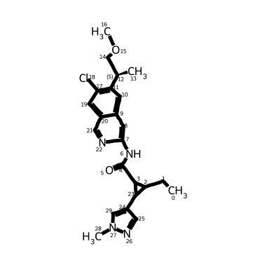 CCC1C(C(=O)Nc2cc3cc([C@H](C)COC)c(Cl)cc3cn2)C1c1cnn(C)c1